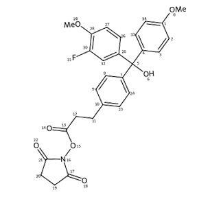 COc1ccc(C(O)(c2ccc(CCC(=O)ON3C(=O)CCC3=O)cc2)c2ccc(OC)c(F)c2)cc1